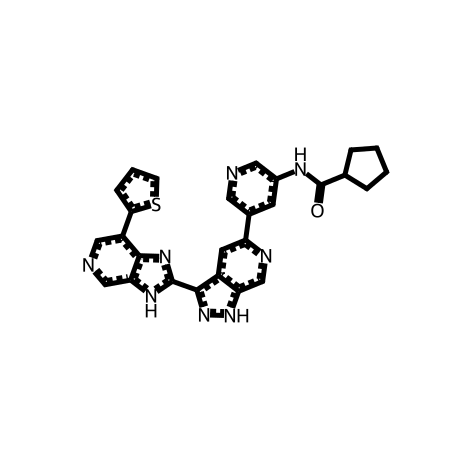 O=C(Nc1cncc(-c2cc3c(-c4nc5c(-c6cccs6)cncc5[nH]4)n[nH]c3cn2)c1)C1CCCC1